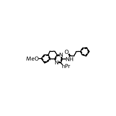 CCCc1nc2c(nc1NC(=O)CCc1ccccc1)CCc1cc(OC)ccc1-2